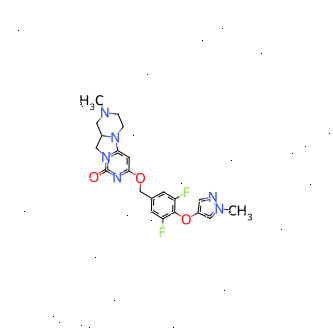 CN1CCN2c3cc(OCc4cc(F)c(Oc5cnn(C)c5)c(F)c4)nc(=O)n3CC2C1